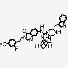 COc1ccc(CCn2cnc3cc(NC(=N[C@H]4C[C@@H]5C[C@H]([C@@H]4C)C5(C)C)N4CCN[C@@H](Cc5c[nH]c6ccccc56)C4)ccc3c2=O)c(F)c1